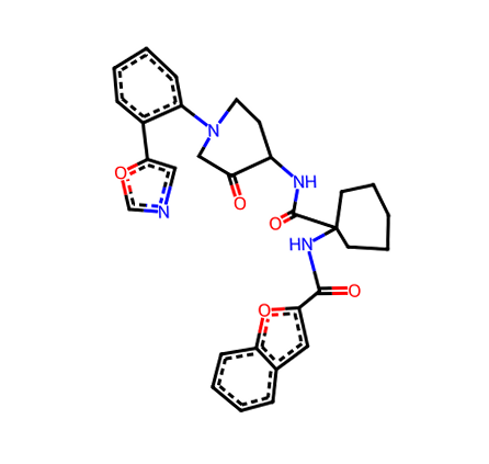 O=C(NC1(C(=O)NC2CCN(c3ccccc3-c3cnco3)CC2=O)CCCCC1)c1cc2ccccc2o1